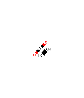 C#C.[O]=[V]=[O]